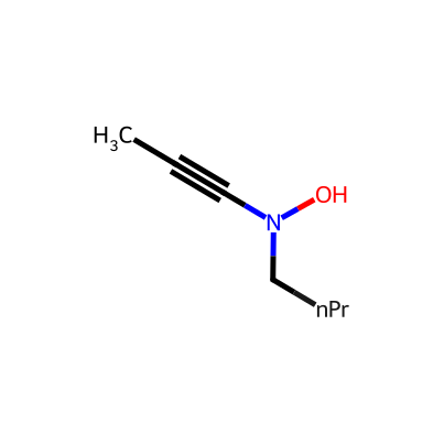 CC#CN(O)CCCC